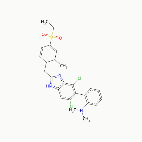 CCS(=O)(=O)C1=CC(C)C(Cc2nc3c(Cl)c(-c4ccccc4N(C)C)c(Cl)cc3[nH]2)C=C1